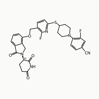 N#Cc1ccc(N2CCC(Sc3ccc(COc4cccc5c4CN([C@@H]4CCC(=O)NC4=O)C5=O)c(F)n3)CC2)c(F)c1